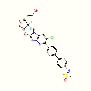 CS(C)(=O)=Nc1ccc(-c2ccc(-c3nc4nc(O[C@@H]5CO[C@H](CCO)C5(F)F)[nH]c4cc3Cl)cc2)cc1